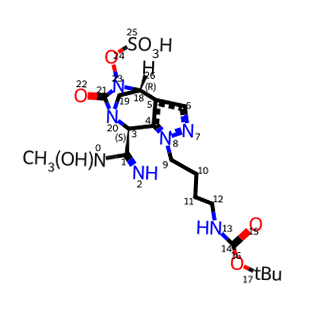 CN(O)C(=N)[C@@H]1c2c(cnn2CCCCNC(=O)OC(C)(C)C)[C@@H]2CN1C(=O)N2OS(=O)(=O)O